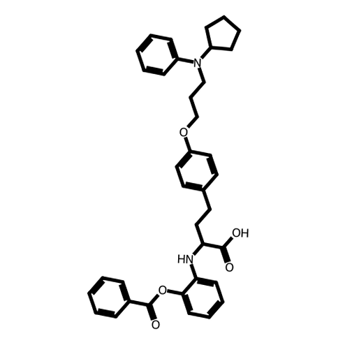 O=C(Oc1ccccc1NC(CCc1ccc(OCCCN(c2ccccc2)C2CCCC2)cc1)C(=O)O)c1ccccc1